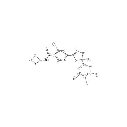 Cc1cc(C2=NOC(c3cc(Br)c(F)c(Br)c3)(C(F)(F)F)C2)ccc1C(=O)NC1CSC1